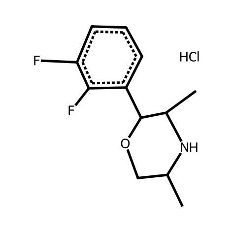 CC1COC(c2cccc(F)c2F)C(C)N1.Cl